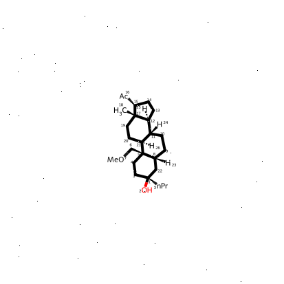 CCC[C@@]1(O)CC[C@@]2(COC)[C@H](CC[C@H]3[C@@H]4CC[C@H](C(C)=O)[C@@]4(C)CC[C@@H]32)C1